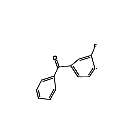 O=C(c1ccccc1)c1cc[c]c(F)c1